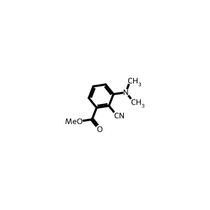 COC(=O)c1cccc(N(C)C)c1C#N